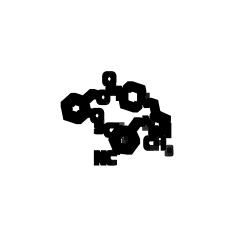 Cc1ncc(CN2CCN(C(=O)OCc3ccccc3OSC(F)(F)F)CC2)n1Cc1ccc(C#N)cc1